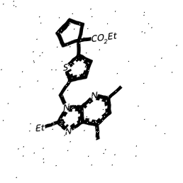 CCOC(=O)C1(c2ccc(Cn3c(CC)nc4c(C)cc(C)nc43)s2)CC=CC1